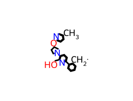 [CH2]c1ccccc1-c1ccc(N2CC[C@H](Oc3ccc(C)cn3)C2)c(CO)n1